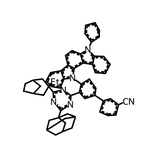 CCC1(c2nc(-c3cc(-c4cccc(C#N)c4)ccc3-n3c4ccccc4c4ccc5c(c6ccccc6n5-c5ccccc5)c43)nc(C34CC5CC(CC(C5)C3)C4)n2)CC2CCC(C2)C1